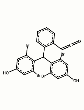 O=C=Cc1ccccc1C(c1c(Br)cc(O)cc1Br)c1c(Br)cc(O)cc1Br